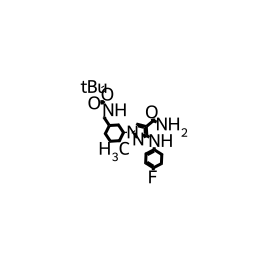 C[C@H]1CCC(CNC(=O)OC(C)(C)C)C[C@@H]1n1cc(C(N)=O)c(NC2=CC=C(F)CC2)n1